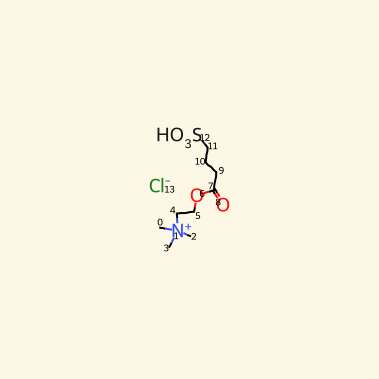 C[N+](C)(C)CCOC(=O)CCCS(=O)(=O)O.[Cl-]